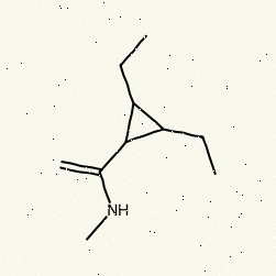 C=C(NC)C1C(CC)C1CC